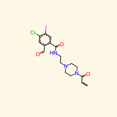 C=CC(=O)N1CCN(CCNC(=O)c2cc(I)c(Cl)cc2C=O)CC1